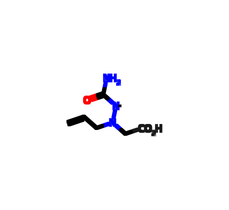 C=CCN(CC(=O)O)[N]C(N)=O